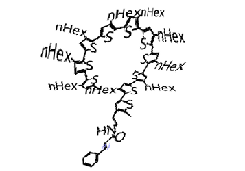 CCCCCCc1cc(C)sc1-c1cc(CCCCCC)c(-c2cc(CCCCCC)c(-c3cc(CCCCCC)c(-c4cc(CCCCCC)c(-c5cc(CCCCCC)c(-c6cc(CCCCCC)c(-c7cc(CCCCCC)c(-c8cc(CCCCCC)c(-c9cc(CCNC(=O)/C=C/c%10ccccc%10)c(C)s9)s8)s7)s6)s5)s4)s3)s2)s1